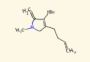 C=CCCC1=C(CCCC)C(=C)N(C)C1